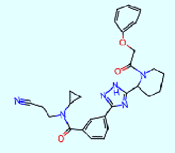 N#CCCN(C(=O)c1cccc(-c2n[nH]c(C3CCCCN3C(=O)COc3ccccc3)n2)c1)C1CC1